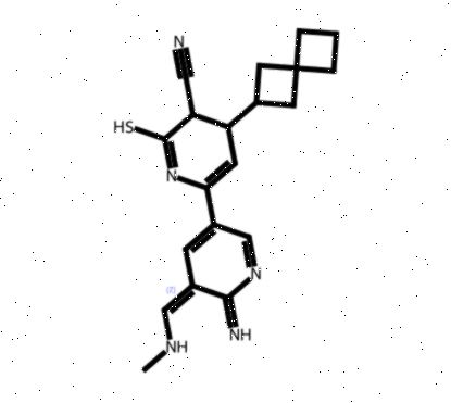 CN/C=C1/C=C(C2=CC(C3CC4(CCC4)C3)C(C#N)C(S)=N2)C=NC1=N